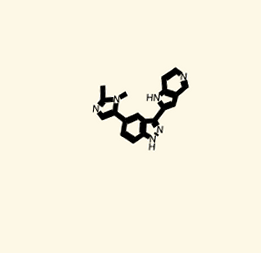 Cc1ncc(-c2ccc3[nH]nc(-c4cc5cnccc5[nH]4)c3c2)n1C